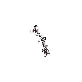 CC(C)(c1n[nH]c(CNC(=O)[C@H]2C[C@@H]2c2ccc(-c3ccc(C(=O)NC4CCN(C5CCN(c6cc7c(cc6F)C(=O)N(C6CCC(=O)NC6=O)C7=O)CC5)CC4)c(Cl)c3)cc2)n1)C(F)(F)F